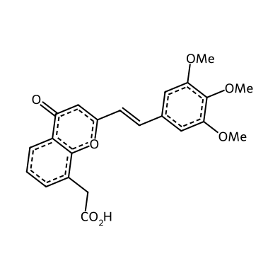 COc1cc(C=Cc2cc(=O)c3cccc(CC(=O)O)c3o2)cc(OC)c1OC